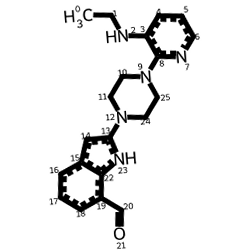 CCNc1cccnc1N1CCN(c2cc3cccc(C=O)c3[nH]2)CC1